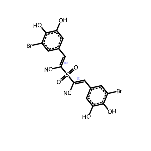 N#C/C(=C\c1cc(O)c(O)c(Br)c1)S(=O)(=O)/C(C#N)=C/c1cc(O)c(O)c(Br)c1